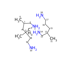 CC(CN)CC(C)(C)CCN.CC(CN)CCCN